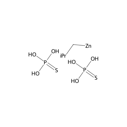 CC(C)[CH2][Zn].OP(O)(O)=S.OP(O)(O)=S